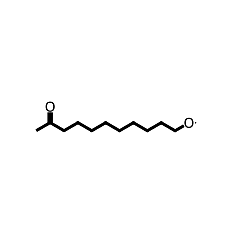 CC(=O)CCCCCCCCC[O]